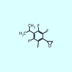 CC(C)c1c(F)c(F)c(C2CO2)c(F)c1F